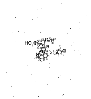 Cc1cc(OCCCc2c3n(c4c(-c5c(C)nn(C)c5C)c(Cl)ccc24)[C@H](C)CN(c2cc(OCCN(C)C)cc4cc(C(=O)O)n(C)c24)C3=O)cc(C)c1Cl